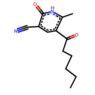 CCCCCC(=O)c1cc(C#N)c(=O)[nH]c1C